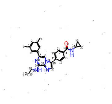 Cc1cc(C)cc(-c2cn3c(-c4ccc(C(=O)NC5CC5)cc4)cnc3c(NCC(C)C)n2)c1